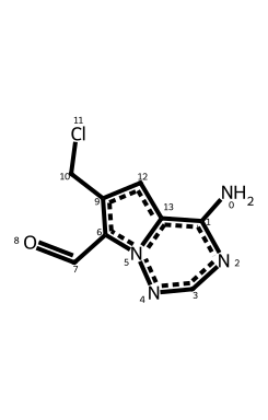 Nc1ncnn2c(C=O)c(CCl)cc12